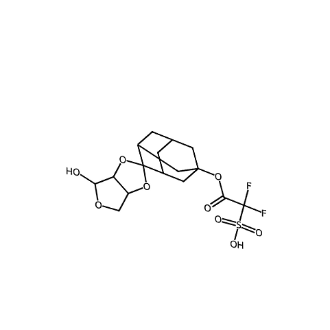 O=C(OC12CC3CC(C1)C1(OC4COC(O)C4O1)C(C3)C2)C(F)(F)S(=O)(=O)O